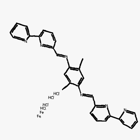 Cc1cc(N=Cc2cccc(-c3ccccn3)n2)c(C)cc1N=Cc1cccc(-c2ccccn2)n1.Cl.Cl.Cl.Cl.[Fe].[Fe]